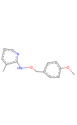 COc1ccc(CONc2ncccc2C)cc1